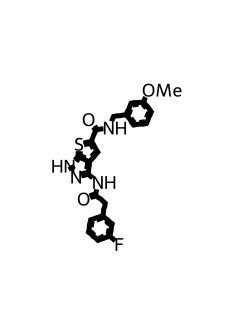 COc1cccc(CNC(=O)c2cc3c(NC(=O)Cc4cccc(F)c4)n[nH]c3s2)c1